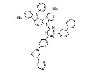 CCCCc1ccc2c(c1)c1c(ccc3c4cc(CCCC)ccc4n(-c4ccccc4)c31)n2-c1nc(-c2ccc(-c3cccc(-c4ccccc4)c3)cc2)nc(-c2cccc(-c3ccccc3)c2)n1